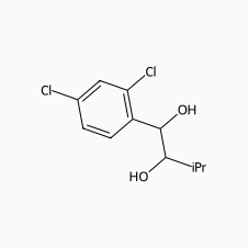 CC(C)C(O)C(O)c1ccc(Cl)cc1Cl